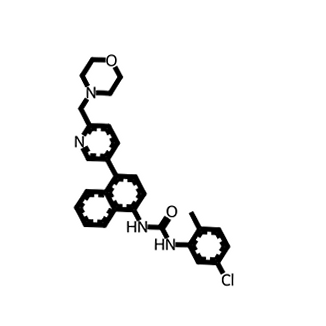 Cc1ccc(Cl)cc1NC(=O)Nc1ccc(-c2ccc(CN3CCOCC3)nc2)c2ccccc12